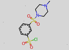 CN1CCN(S(=O)(=O)c2cccc(S(=O)(=O)Cl)c2)CC1